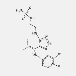 CC(C)=C(Nc1ccc(F)c(Br)c1)c1nonc1NCCNS(N)(=O)=O